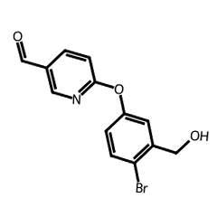 O=Cc1ccc(Oc2ccc(Br)c(CO)c2)nc1